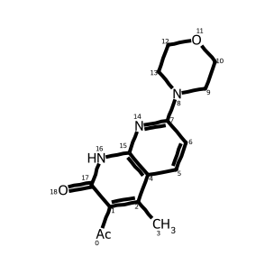 CC(=O)c1c(C)c2ccc(N3CCOCC3)nc2[nH]c1=O